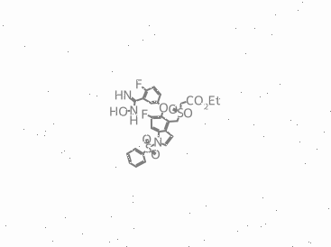 CCOC(=O)CS(=O)(=O)Cc1c(Oc2ccc(F)c(C(=N)NO)c2)c(F)cc2c1ccn2S(=O)(=O)c1ccccc1